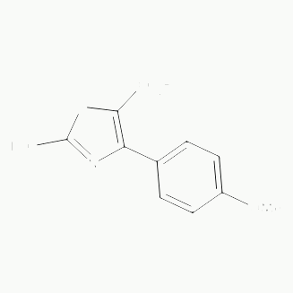 CCOC(=O)c1sc(C)nc1-c1ccc(OC)cc1